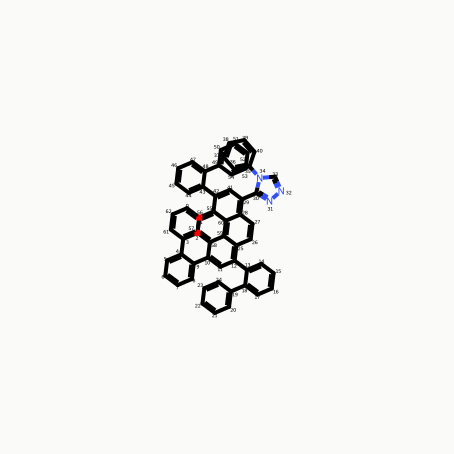 c1ccc(-c2ccccc2-c2cc(-c3ccccc3-c3ccccc3)c3ccc4c(-c5nncn5-c5ccccc5)cc(-c5ccccc5-c5ccccc5)c5ccc2c3c54)cc1